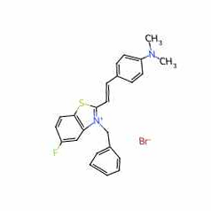 CN(C)c1ccc(/C=C/c2sc3ccc(F)cc3[n+]2Cc2ccccc2)cc1.[Br-]